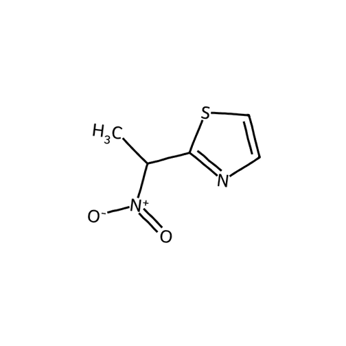 CC(c1nccs1)[N+](=O)[O-]